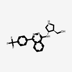 OC[C@@H]1CNC[C@H]1Nc1nnc(-c2ccc(C(F)(F)F)cc2)c2ccccc12